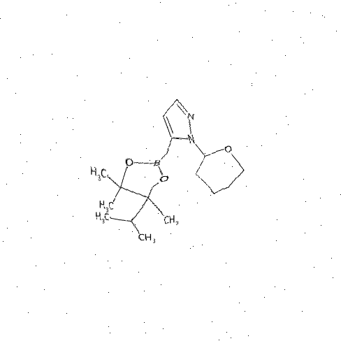 CC(C)C1(C)OB(c2ccnn2C2CCCCO2)OC1(C)C